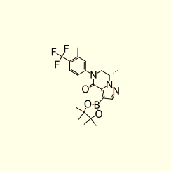 Cc1cc(N2C[C@H](C)n3ncc(B4OC(C)(C)C(C)(C)O4)c3C2=O)ccc1C(F)(F)F